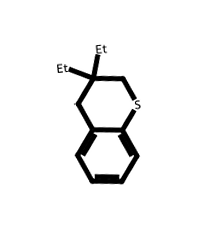 CCC1(CC)[CH]c2ccccc2SC1